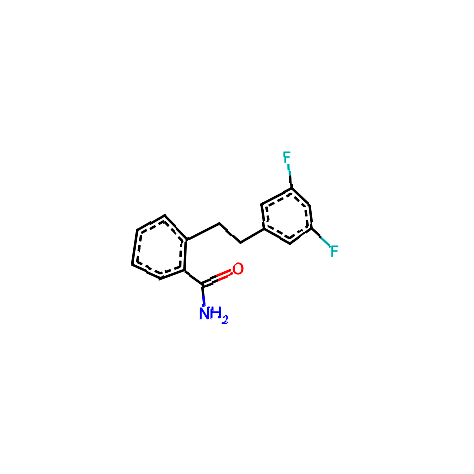 NC(=O)c1ccccc1CCc1cc(F)cc(F)c1